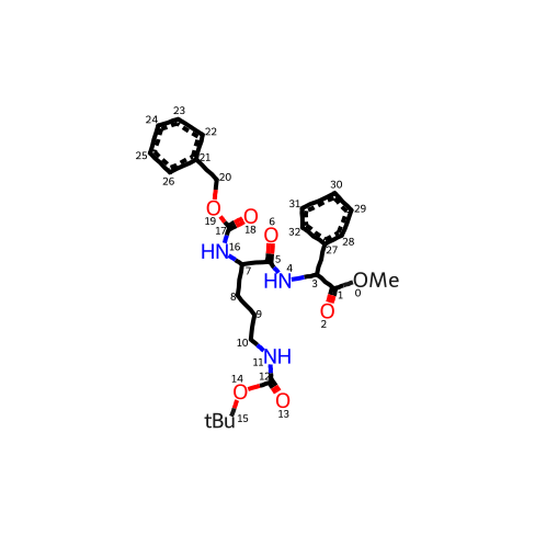 COC(=O)C(NC(=O)C(CCCNC(=O)OC(C)(C)C)NC(=O)OCc1ccccc1)c1ccccc1